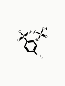 CP(=O)(O)O.Cc1ccc(S([O])(=O)=O)cc1